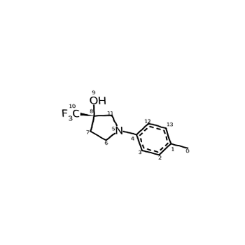 Cc1ccc(N2CC[C@@](O)(C(F)(F)F)C2)cc1